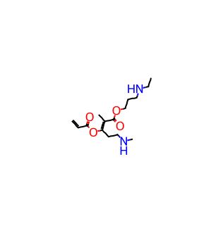 C=CC(=O)OC(CCNC)=C(C)C(=O)OCCCNCC